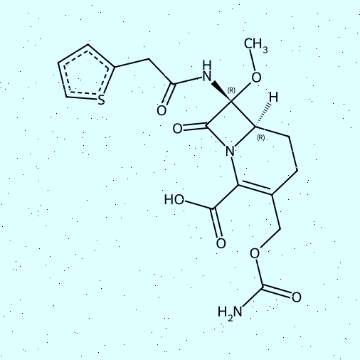 CO[C@@]1(NC(=O)Cc2cccs2)C(=O)N2C(C(=O)O)=C(COC(N)=O)CC[C@@H]21